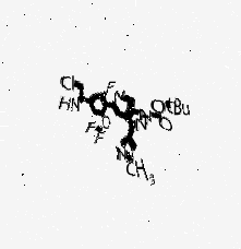 Cn1cc(-c2nn(C(=O)OC(C)(C)C)c3cnc(-c4c(F)cc(C(=N)CCl)cc4OC(F)F)cc23)cn1